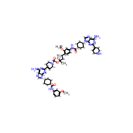 COc1cccc(NC(=O)[C@H]2CC[C@@H](n3cnc4c(N)nc(C5=CCN(C(=O)OC(C)(C)CCc6ccc(NC(=O)[C@H]7CC[C@@H](n8cnc9c(N)nc(C%10=CCNCC%10)nc98)CC7)cc6OC)CC5)nc43)CC2)c1